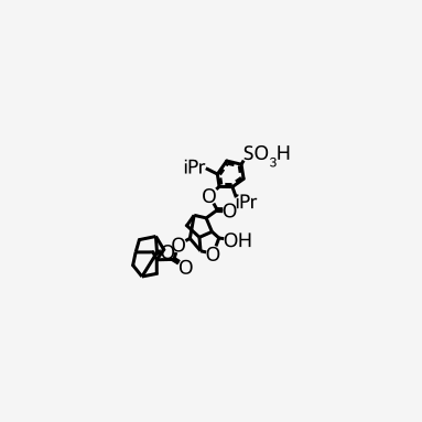 CC(C)c1cc(S(=O)(=O)O)cc(C(C)C)c1OC(=O)C1C2CC3C(OC(O)C31)C2OC(=O)C12CC3CC(C1)C(=O)C(C3)C2